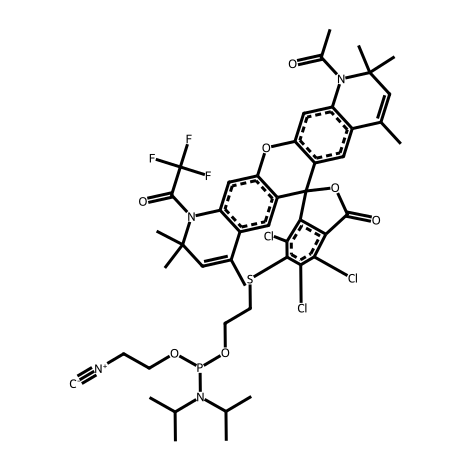 [C-]#[N+]CCOP(OCCSc1c(Cl)c(Cl)c2c(c1Cl)C1(OC2=O)c2cc3c(cc2Oc2cc4c(cc21)C(C)=CC(C)(C)N4C(=O)C(F)(F)F)N(C(C)=O)C(C)(C)C=C3C)N(C(C)C)C(C)C